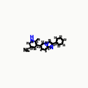 CC1=C(c2ccc3nc(-c4ccccc4)cn3c2)C=C(C#N)CN1